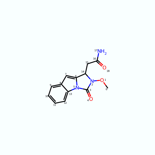 CON1C(=O)n2c(cc3ccccc32)C1CC(N)=O